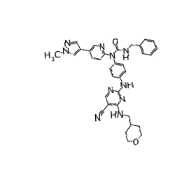 Cn1cc(-c2ccc(N(C(=O)NCc3ccccc3)c3ccc(Nc4ncc(C#N)c(NCC5CCOCC5)n4)cc3)nc2)cn1